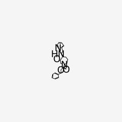 O=C1CN(C(=O)OCc2ccccc2)CCCC1NCc1ccccn1